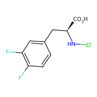 O=C(O)[C@H](Cc1ccc(F)c(F)c1)NCl